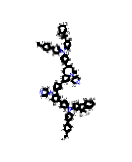 C=Cc1ccc(C(=C)/C=C\C(=C/C)N(c2ccc(C3=C/Cc4cc(-c5ccc6c(c5)c5cc(-c7ccc(N(c8ccc(-c9ccc(C=C)cc9)cc8)c8ccc9c(c8)C(C)(C)c8ccccc8-9)cc7)ccc5n6-c5ccncc5)ccc4N(c4ccncc4)C(=C)/C=C\3)cc2)c2cccc(C(C)(C)c3ccccc3C)c2)cc1